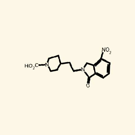 O=C(O)N1CCC(CCN2Cc3c(cccc3[N+](=O)[O-])C2=O)CC1